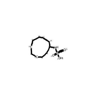 O=S(=O)(O)NC1CCCCCCCCC1